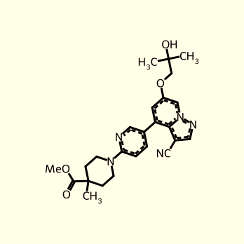 COC(=O)C1(C)CCN(c2ccc(-c3cc(OCC(C)(C)O)cn4ncc(C#N)c34)cn2)CC1